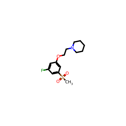 CS(=O)(=O)c1cc(F)cc(OCCN2CCCCC2)c1